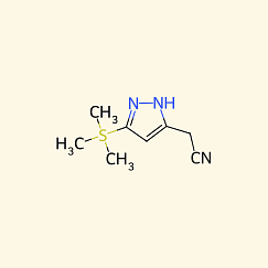 CS(C)(C)c1cc(CC#N)[nH]n1